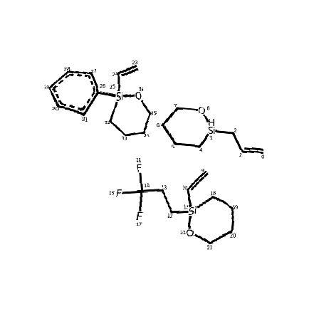 C=CC[SiH]1CCCCO1.C=C[Si]1(CCC(F)(F)F)CCCCO1.C=C[Si]1(c2ccccc2)CCCCO1